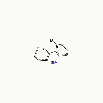 C#N.CCc1ccccc1-c1ccccc1